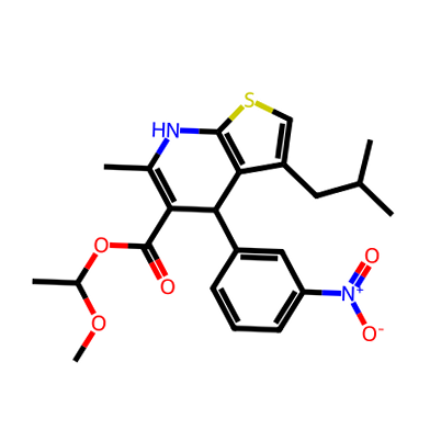 COC(C)OC(=O)C1=C(C)Nc2scc(CC(C)C)c2C1c1cccc([N+](=O)[O-])c1